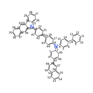 C1=CC(N(c2ccc(-c3ccccc3)cc2)c2ccc(-c3ccc(-n4c5ccccc5c5cc6ccccc6cc54)cc3)cc2)CC=C1c1ccc2ccccc2c1